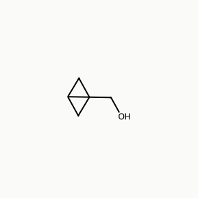 OCC12CC1C2